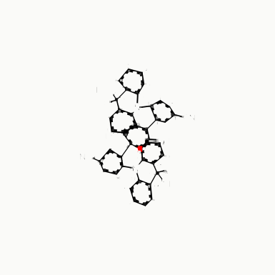 Cc1cc(-c2cc(C#N)ccc2N2c3ccccc3C(C)(C)c3ccccc32)c(C)cc1-c1cc(C#N)ccc1N1c2ccccc2C(C)(C)c2ccccc21